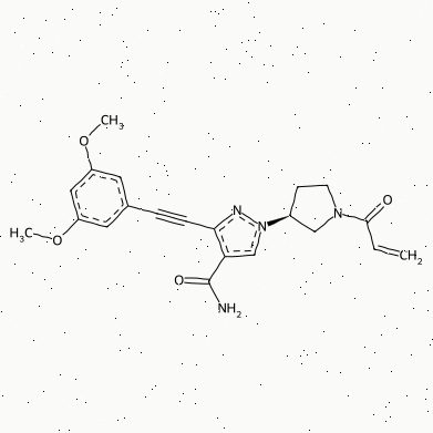 C=CC(=O)N1CC[C@H](n2cc(C(N)=O)c(C#Cc3cc(OC)cc(OC)c3)n2)C1